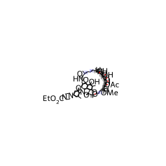 CCOC(=O)N1CCN(c2cc(C)c3nc4c5c6c7c(C)c(O)c5c(=O)c(c-4oc3c2)NC(=O)/C(C)=C\C=C\[C@H](C)[C@H](O)[C@@H](C)[C@@H](O)[C@@H](C)[C@H](OC(C)=O)[C@H](C)[C@@H](OC)/C=C/O[C@@](C)(O7)C6=O)CC1